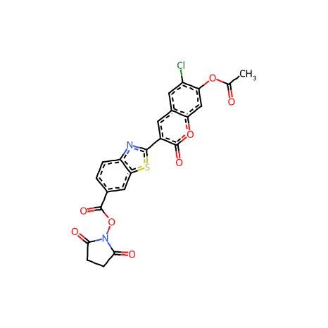 CC(=O)Oc1cc2oc(=O)c(-c3nc4ccc(C(=O)ON5C(=O)CCC5=O)cc4s3)cc2cc1Cl